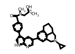 C[C@@H](O)CN(C)C(=O)c1ccc(-c2c[nH]c3ncc(-c4cc5c6c(c4)CN(C4CC4)CC6CCC5)cc23)cc1